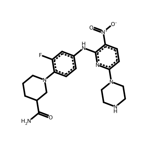 NC(=O)C1CCCN(c2ccc(Nc3nc(N4CCNCC4)ccc3[N+](=O)[O-])cc2F)C1